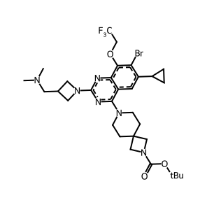 CN(C)CC1CN(c2nc(N3CCC4(CC3)CN(C(=O)OC(C)(C)C)C4)c3cc(C4CC4)c(Br)c(OCC(F)(F)F)c3n2)C1